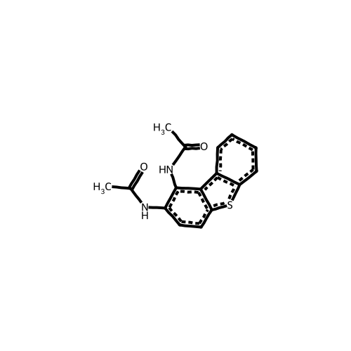 CC(=O)Nc1ccc2sc3ccccc3c2c1NC(C)=O